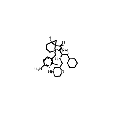 Cc1nc(N)ccc1C[N+]1(C(=O)[C@@H](CC2CCCCC2)NCC2CNCCO2)CCC[C@@H]2C[C@@]21C(N)=O